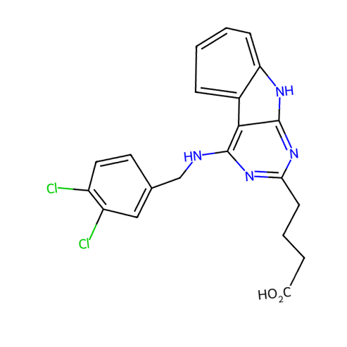 O=C(O)CCCc1nc(NCc2ccc(Cl)c(Cl)c2)c2c(n1)[nH]c1ccccc12